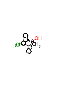 C[CH]=[Zr+2][CH]1c2ccccc2-c2cccc(C3C(CCCO)=Cc4ccccc43)c21.[Cl-].[Cl-]